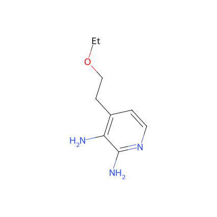 CCOCCc1ccnc(N)c1N